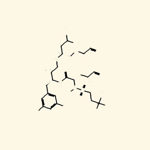 C=CCC[C@@H](C(=O)N[C@@H](Cc1cc(F)cc(F)c1)[C@H](O)CN[C@@H](COCC=C)CC(C)C)N(C)S(=O)(=O)CCC(F)(F)F